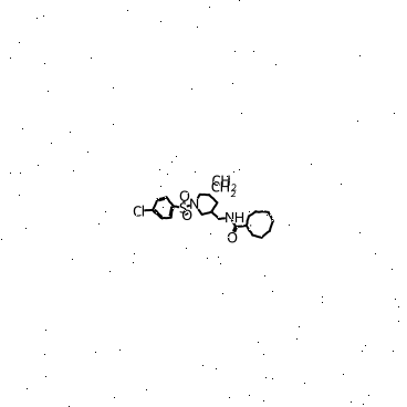 O=C(NCC1CCCN(S(=O)(=O)c2ccc(Cl)cc2)C1)[C]1CCCCCCC1.[CH2].[CH2]